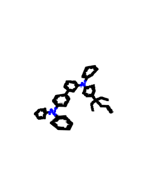 C=CCC(CC)(CC)c1ccc(N(c2ccccc2)c2cccc(-c3ccc(N(c4ccccc4)c4ccccc4)cc3)c2)cc1